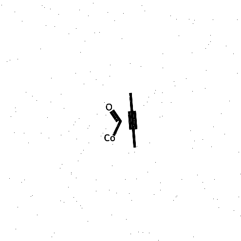 CC#CC.O=[CH][Co]